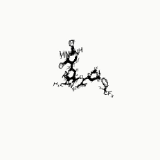 Cn1nc(O[C@H](c2cc(OCC(F)(F)F)ncn2)C(F)F)c2cc(-c3c[nH]c(=O)[nH]c3=O)nnc21